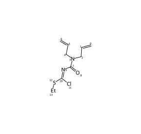 C=CCN(CC=C)C(=O)N=C(Cl)SCC